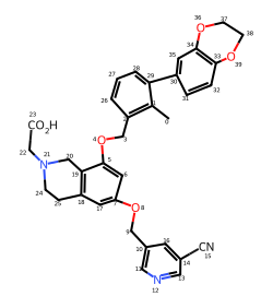 Cc1c(COc2cc(OCc3cncc(C#N)c3)cc3c2CN(CC(=O)O)CC3)cccc1-c1ccc2c(c1)OCCO2